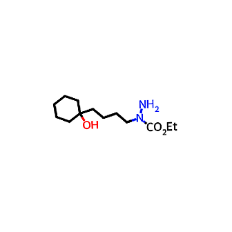 CCOC(=O)N(N)CCCCC1(O)CCCCC1